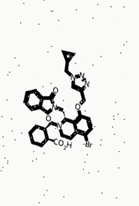 O=C(O)[C@H]1CCCC[C@H]1C(=O)N1CCc2c(Br)ccc(OCc3cn(CC4CC4)nn3)c2[C@H]1CN1Cc2ccccc2C1=O